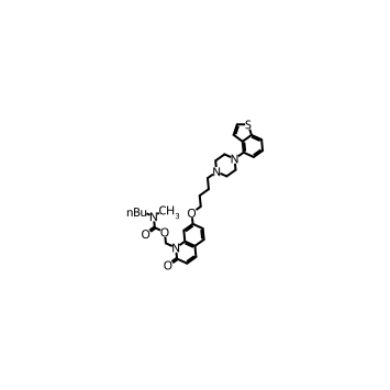 CCCCN(C)C(=O)OCn1c(=O)ccc2ccc(OCCCCN3CCN(c4cccc5sccc45)CC3)cc21